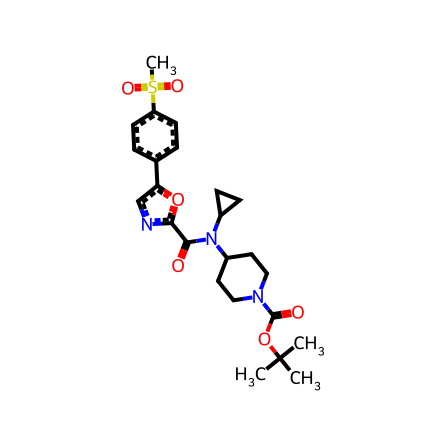 CC(C)(C)OC(=O)N1CCC(N(C(=O)c2ncc(-c3ccc(S(C)(=O)=O)cc3)o2)C2CC2)CC1